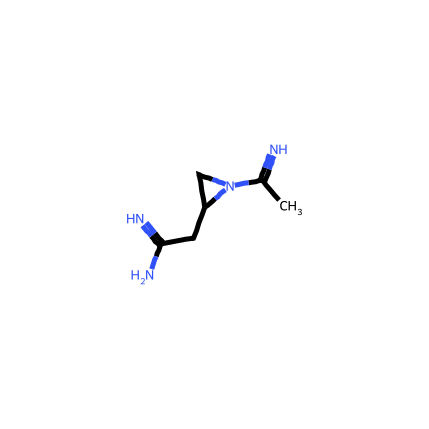 CC(=N)N1CC1CC(=N)N